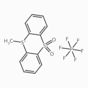 C[S+]1c2ccccc2S(=O)(=O)c2ccccc21.F[P-](F)(F)(F)(F)F